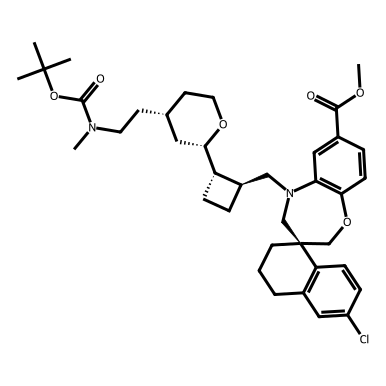 COC(=O)c1ccc2c(c1)N(C[C@H]1CC[C@@H]1[C@@H]1C[C@H](CCN(C)C(=O)OC(C)(C)C)CCO1)C[C@@]1(CCCc3cc(Cl)ccc31)CO2